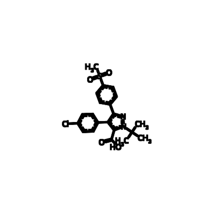 CC(C)(C)n1nc(-c2ccc(S(C)(=O)=O)cc2)c(-c2ccc(Cl)cc2)c1C(=O)O